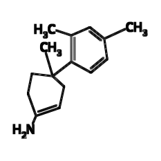 Cc1ccc(C2(C)CC=C(N)CC2)c(C)c1